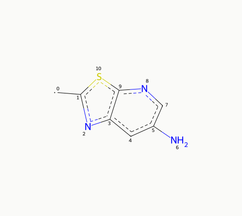 [CH2]c1nc2cc(N)cnc2s1